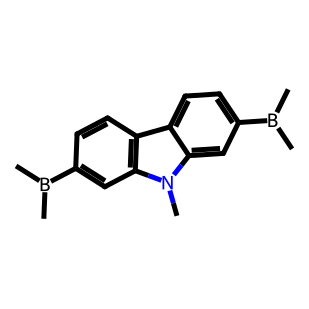 CB(C)c1ccc2c3ccc(B(C)C)cc3n(C)c2c1